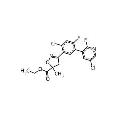 CCOC(=O)C1(C)CC(c2cc(-c3cc(Cl)cnc3F)c(F)cc2Cl)=NO1